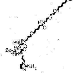 CC[C@H](C)[C@H](NC(=O)[C@H](CCCn1ccnc1N)NC(=O)OC(C)(C)C)C(=O)NCCCOCCCCC(=O)NCCOCCOCCCCCCCl